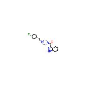 O=C(c1n[nH]c2ccccc12)N1CCN(CCc2ccc(F)cc2)CC1